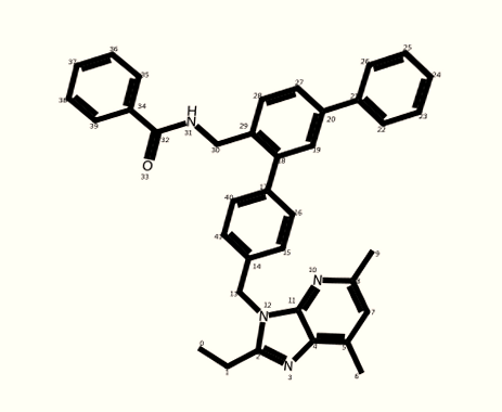 CCc1nc2c(C)cc(C)nc2n1Cc1ccc(-c2cc(-c3ccccc3)ccc2CNC(=O)c2ccccc2)cc1